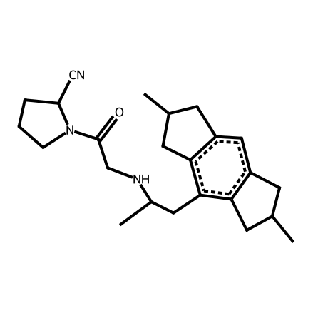 CC1Cc2cc3c(c(CC(C)NCC(=O)N4CCCC4C#N)c2C1)CC(C)C3